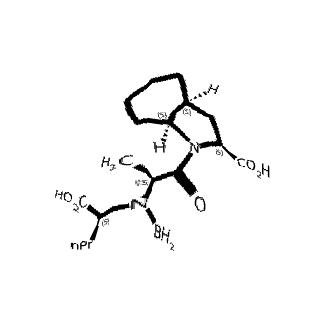 BN([C@@H](C)C(=O)N1[C@H](C(=O)O)C[C@@H]2CCCC[C@@H]21)[C@@H](CCC)C(=O)O